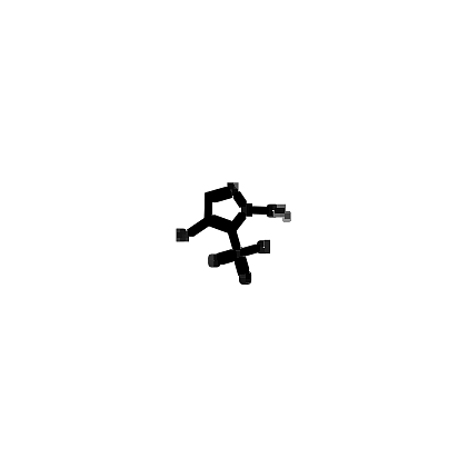 Cn1ncc(Br)c1S(=O)(=O)Cl